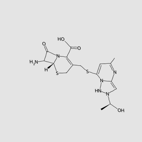 CC1=NC2=CN([C@H](C)O)NN2C(SCC2=C(C(=O)O)N3C(=O)C(N)[C@H]3SC2)=C1